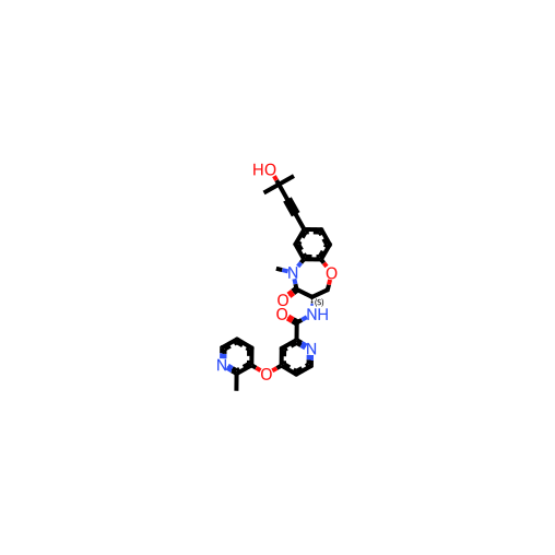 Cc1ncccc1Oc1ccnc(C(=O)N[C@H]2COc3ccc(C#CC(C)(C)O)cc3N(C)C2=O)c1